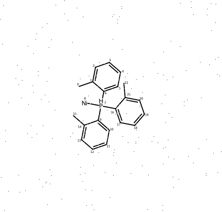 Cc1ccccc1[PH]([Ni])(c1ccccc1C)c1ccccc1C